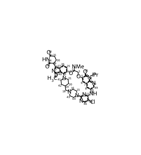 CNC(=O)COc1cc2cc(Nc3nc(N4CCN(CC5CCN(c6cccc7c(C8CCC(=O)NC8=O)nn(C)c67)CC5)CC4)ncc3Cl)cnc2n(C(C)C)c1=O